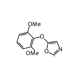 COc1cccc(OC)c1Oc1cn[c]o1